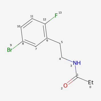 CCC(=O)NCCc1cc(Br)ccc1F